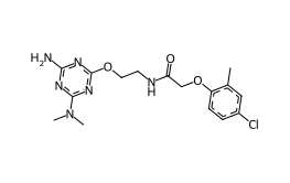 Cc1cc(Cl)ccc1OCC(=O)NCCOc1nc(N)nc(N(C)C)n1